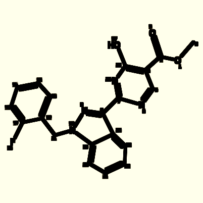 COC(=O)c1cnc(-c2nn(Cc3ccccc3F)c3ccccc23)nc1O